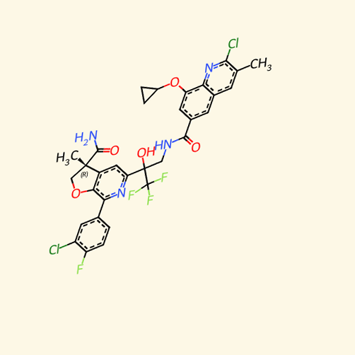 Cc1cc2cc(C(=O)NCC(O)(c3cc4c(c(-c5ccc(F)c(Cl)c5)n3)OC[C@]4(C)C(N)=O)C(F)(F)F)cc(OC3CC3)c2nc1Cl